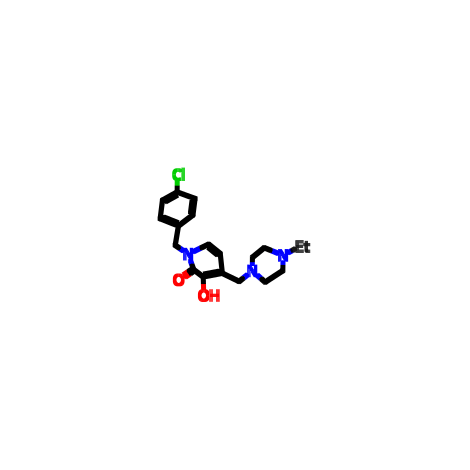 CCN1CCN(Cc2ccn(Cc3ccc(Cl)cc3)c(=O)c2O)CC1